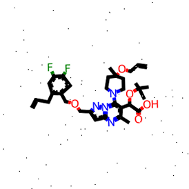 C=CCOC1(C)CCN(c2c(C(OC(C)(C)C)C(=O)O)c(C)nc3cc(COCc4cc(F)c(F)cc4CC=C)nn23)CC1